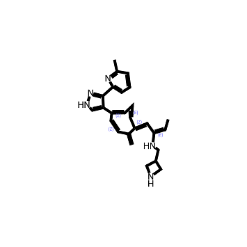 C=C1\C=C/C(c2c[nH]nc2-c2cccc(C)n2)=C/C=C/C1=C/C(=C\C)NCC1CNC1